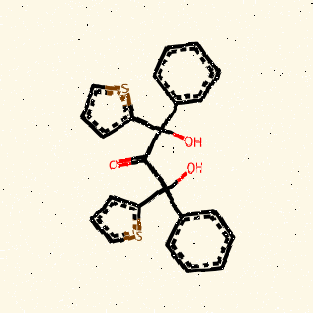 O=C(C(O)(c1ccccc1)c1cccs1)C(O)(c1ccccc1)c1cccs1